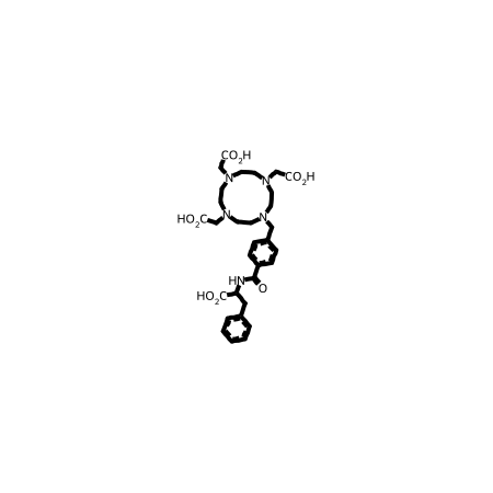 O=C(O)CN1CCN(CC(=O)O)CCN(Cc2ccc(C(=O)NC(Cc3ccccc3)C(=O)O)cc2)CCN(CC(=O)O)CC1